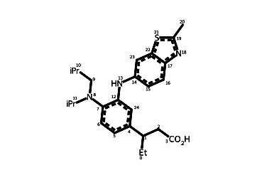 CCC(CC(=O)O)c1ccc(N(CC(C)C)C(C)C)c(Nc2ccc3nc(C)sc3c2)c1